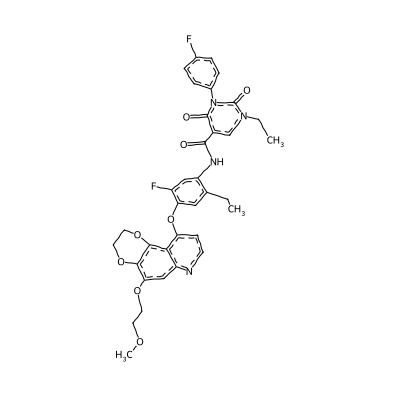 CCc1cc(Oc2ccnc3cc(OCCOC)c4c(c23)OCCO4)c(F)cc1NC(=O)c1cn(CC)c(=O)n(-c2ccc(F)cc2)c1=O